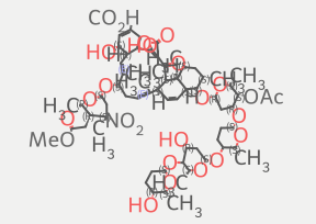 COC(=O)C[C@H]1[C@@H](C)O[C@@H](O[C@H]2C/C=C(\C)[C@@H]3C=C[C@@H]4[C@@H](O[C@H]5C[C@@H](O[C@H]6CCC(O[C@H]7C[C@@H](O)C(O[C@H]8CC[C@@H](O)[C@H](C)O8)[C@H](C)O7)[C@H](C)O6)[C@@H](OC(C)=O)[C@H](C)O5)[C@@H](C)C[C@H](C)[C@H]4[C@]3(C)C(=O)C3=C(O)C4(CC(C(=O)O)=C[C@H](O)[C@H]4/C=C/2C)OC3=O)C[C@]1(C)[N+](=O)[O-]